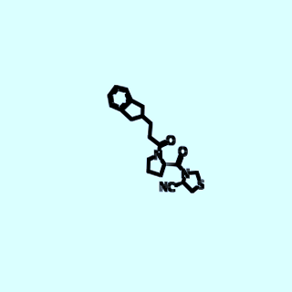 N#C[C@@H]1CSCN1C(=O)[C@H]1CCCN1C(=O)CCC1Cc2ccccc2C1